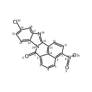 O=c1c2cccc3c([N+](=O)[O-])ccc(c32)c2nc3cc(Cl)ccc3n12